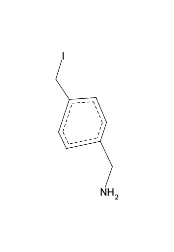 NCc1ccc(CI)cc1